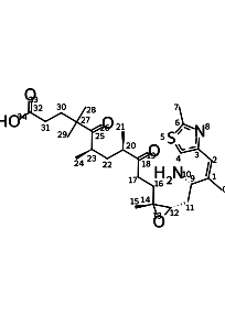 CC(=Cc1csc(C)n1)[C@@H](N)C[C@@H]1O[C@]1(C)CCC(=O)[C@H](C)C[C@@H](C)C(=O)C(C)(C)CCC(=O)O